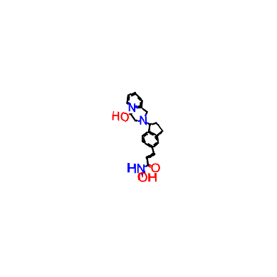 O=C(C=Cc1ccc2c(c1)CCC2N(CCO)Cc1ccccn1)NO